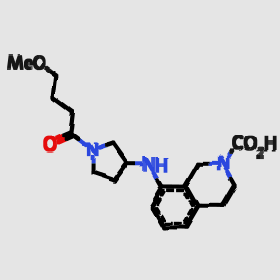 COCCCC(=O)N1CCC(Nc2cccc3c2CN(C(=O)O)CC3)C1